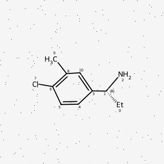 CC[C@@H](N)c1ccc(Cl)c(C)c1